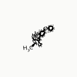 CC#CC(=O)N1CCCC1c1cc(-c2ccc(Oc3ccccc3)cc2)n2c(N)nccc12